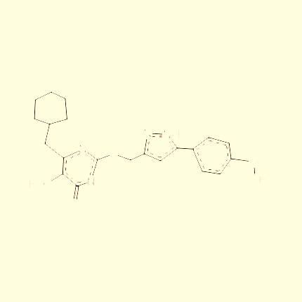 COc1ccc(-c2cc(CSc3nc(CC4CCCCC4)c(C)c(=O)[nH]3)n[nH]2)cc1